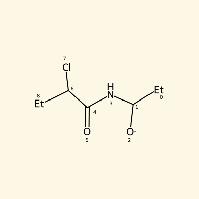 CCC([O])NC(=O)C(Cl)CC